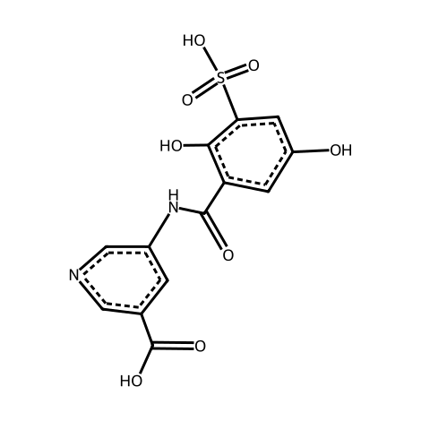 O=C(O)c1cncc(NC(=O)c2cc(O)cc(S(=O)(=O)O)c2O)c1